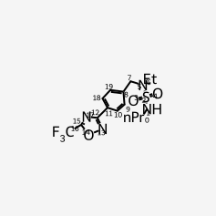 CCCNS(=O)(=O)N(CC)Cc1ccc(-c2noc(C(F)(F)F)n2)cc1